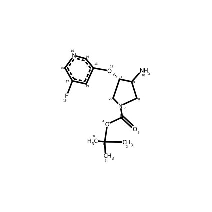 CC(C)(C)OC(=O)N1CC(N)[C@@H](Oc2cncc(F)c2)C1